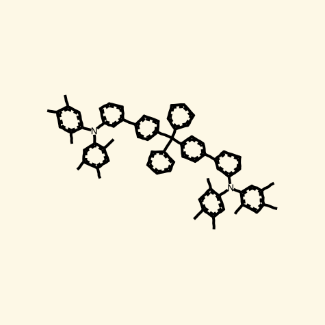 Cc1cc(C)c(N(c2cccc(-c3ccc(C(c4ccccc4)(c4ccccc4)c4ccc(-c5cccc(N(c6cc(C)c(C)cc6C)c6cc(C)c(C)cc6C)c5)cc4)cc3)c2)c2cc(C)c(C)cc2C)cc1C